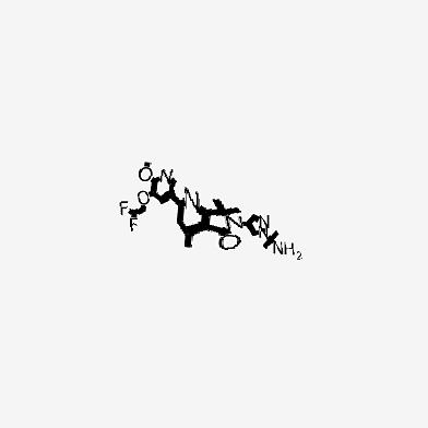 COc1ncc(-c2cc(C)c3c(n2)C(C)(C)N(c2cnn(C(C)(C)N)c2)C3=O)cc1OCC(F)F